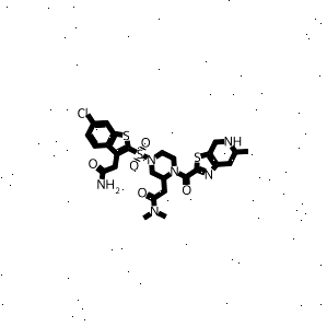 CC1Cc2nc(C(=O)N3CCN(S(=O)(=O)c4sc5cc(Cl)ccc5c4CC(N)=O)CC3CC(=O)N(C)C)sc2CN1